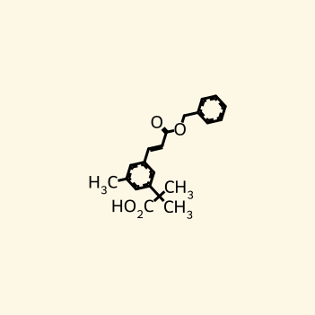 Cc1cc(/C=C/C(=O)OCc2ccccc2)cc(C(C)(C)C(=O)O)c1